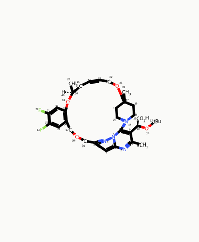 Cc1nc2cc3nn2c(c1[C@H](OC(C)(C)C)C(=O)O)N1CCC(C)(CC1)OCC=CC[C@H](C)Oc1cc(F)c(F)cc1COC3